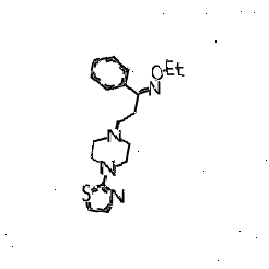 CCO/N=C(/CCN1CCN(c2nccs2)CC1)c1ccccc1